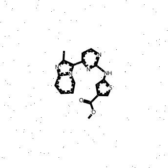 COC(=O)c1csc(Nc2nccc(-c3c(C)nc4ccccn34)n2)c1